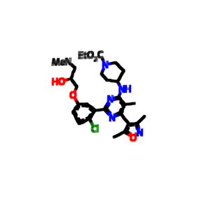 CCOC(=O)N1CCC(Nc2nc(-c3cc(OC[C@@H](O)CNC)ccc3Cl)nc(-c3c(C)noc3C)c2C)CC1